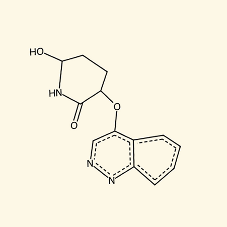 O=C1NC(O)CCC1Oc1cnnc2ccccc12